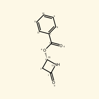 O=C1C[C@H](OC(=O)c2ccccc2)N1